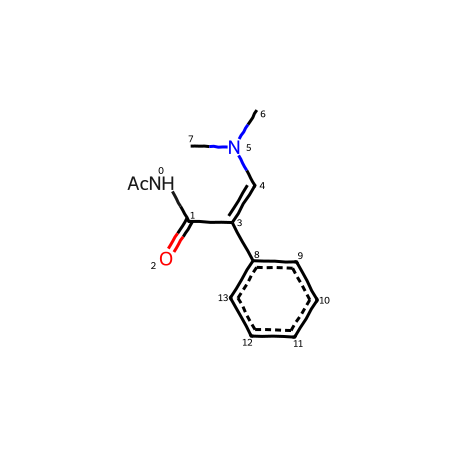 CC(=O)NC(=O)C(=CN(C)C)c1ccccc1